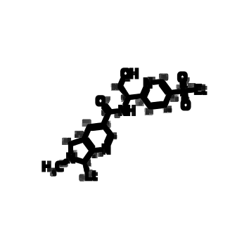 CC[C@@H]1c2ncc(C(=O)N[C@@H](CO)c3ccc(S(=O)(=O)CC)cn3)cc2CN1C